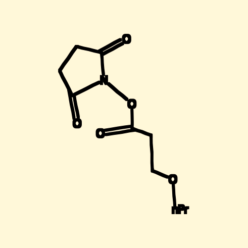 CCCOCCC(=O)ON1C(=O)CCC1=O